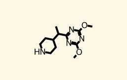 COc1nc(OC)nc(C(C)C2CCNCC2)n1